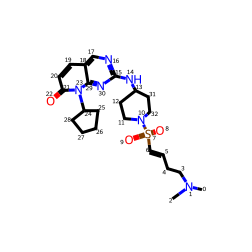 CN(C)CC/C=C/S(=O)(=O)N1CCC(Nc2ncc3ccc(=O)n(C4CCCC4)c3n2)CC1